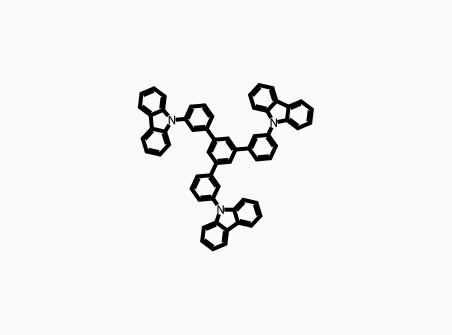 c1cc(-c2cc(-c3cccc(-n4c5ccccc5c5ccccc54)c3)cc(-c3cccc(-n4c5ccccc5c5ccccc54)c3)c2)cc(-n2c3ccccc3c3ccccc32)c1